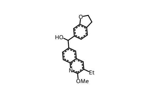 CCc1cc2cc(C(O)c3ccc4c(c3)OCC4)ccc2nc1OC